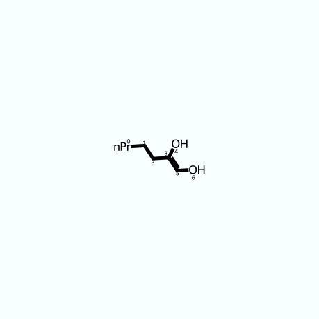 CCCCCC(O)=CO